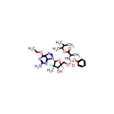 CCOc1nc(N)nc2c1ncn2[C@@H]1O[C@](F)(COP(=O)(NC(C)C(=O)OC(C)C(C)C)Oc2ccccc2)[C@@H](O)[C@@]1(C)F